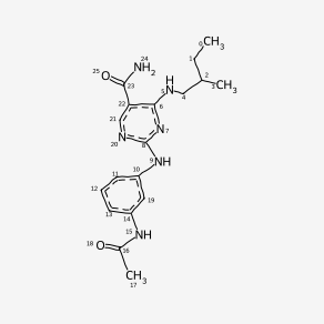 CCC(C)CNc1nc(Nc2cccc(NC(C)=O)c2)ncc1C(N)=O